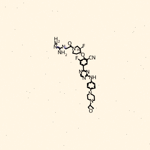 N#Cc1cc(-c2ncnc(Nc3ccc(N4CCN(C5COC5)CC4)cc3)n2)cc(F)c1O[C@H]1CCN(C(=O)/C=N/C(N)=N\N)C[C@H]1F